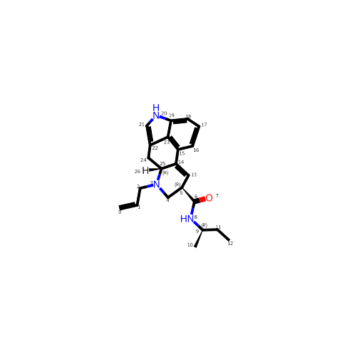 C=CCN1C[C@H](C(=O)N[C@H](C)CC)C=C2c3cccc4[nH]cc(c34)C[C@H]21